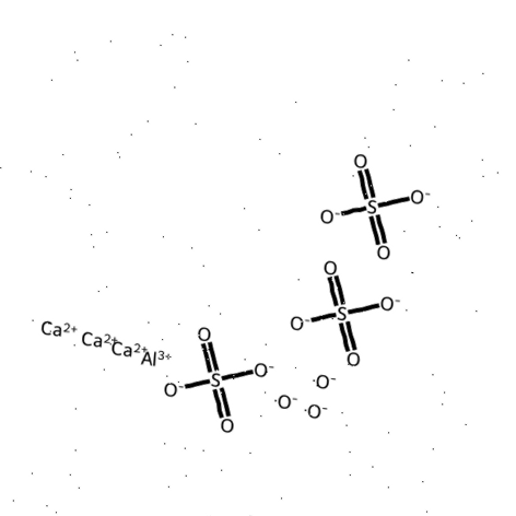 O=S(=O)([O-])[O-].O=S(=O)([O-])[O-].O=S(=O)([O-])[O-].[Al+3].[Ca+2].[Ca+2].[Ca+2].[O-].[O-].[O-]